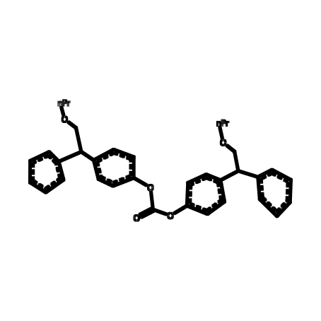 CCCOCC(c1ccccc1)c1ccc(OC(=O)Oc2ccc(C(COCCC)c3ccccc3)cc2)cc1